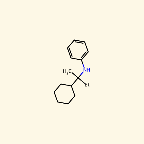 CCC(C)(Nc1ccccc1)C1CCCCC1